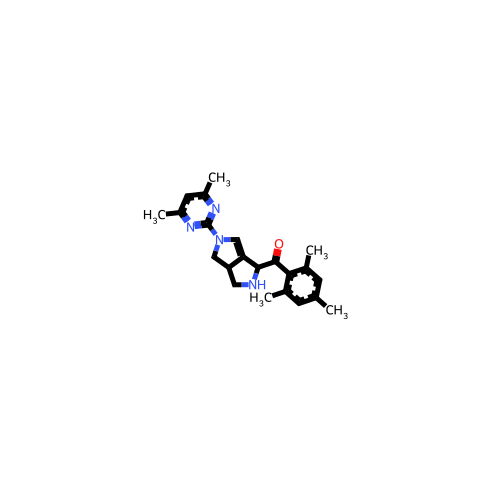 Cc1cc(C)c(C(=O)C2NCC3CN(c4nc(C)cc(C)n4)C=C32)c(C)c1